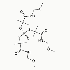 COCNC(=O)C(C)(C)OP(=O)(SC(C)(C)C(=O)NCOC)SC(C)(C)C(=O)NCOC